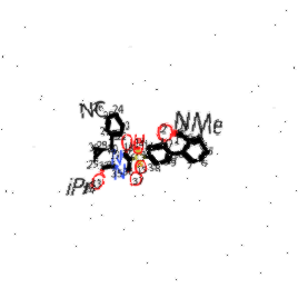 CNC(=O)c1ccccc1-c1ccc(S(=O)(=O)c2c(O)n([C@H](c3cccc(C#N)c3)C3CC3)c(COC(C)C)nc2=O)cc1